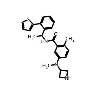 Cc1ccc(N(C)C2CNC2)cc1C(=O)NC(C)c1ccccc1-c1cccs1